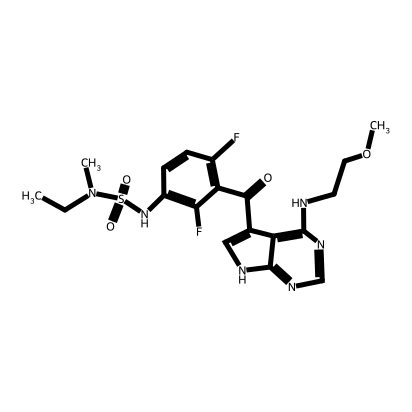 CCN(C)S(=O)(=O)Nc1ccc(F)c(C(=O)c2c[nH]c3ncnc(NCCOC)c23)c1F